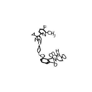 Cc1nc(-c2cn([C@H]3C[C@H](COc4cccc5c4C(=O)N(C4CCC(=O)NC4=O)C5=O)C3)nc2C2CC2)ccc1F